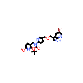 COc1ccc(CN(C(=O)OC(C)(C)C)c2ccc(COCc3c[nH]c4ncc(Br)cc34)cn2)cn1